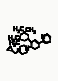 CC1(C)CC(C2=C(N3CCN(CC4CC4)CC3)CCC(c3ccccn3)=C2)CC(C)(C)C1